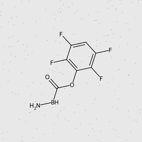 NBC(=O)Oc1c(F)c(F)cc(F)c1F